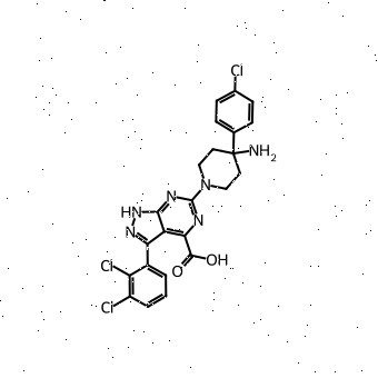 NC1(c2ccc(Cl)cc2)CCN(c2nc(C(=O)O)c3c(-c4cccc(Cl)c4Cl)n[nH]c3n2)CC1